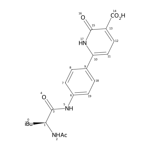 CCC(C)[C@H](NC(C)=O)C(=O)Nc1ccc(-c2ccc(C(=O)O)c(=O)[nH]2)cc1